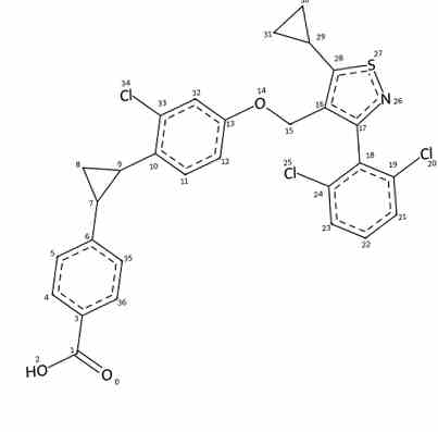 O=C(O)c1ccc(C2CC2c2ccc(OCc3c(-c4c(Cl)cccc4Cl)nsc3C3CC3)cc2Cl)cc1